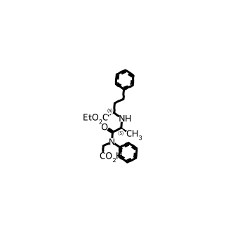 CCOC(=O)[C@H](CCc1ccccc1)N[C@@H](C)C(=O)N(CC(=O)O)c1ccccc1